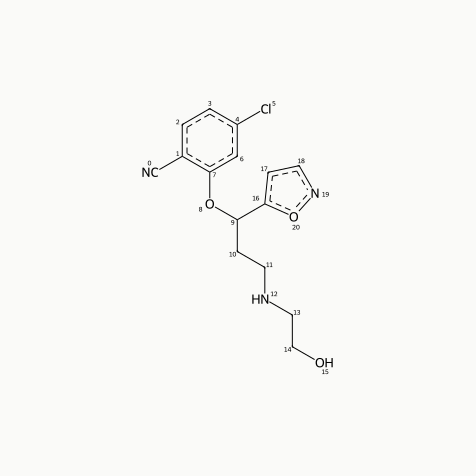 N#Cc1ccc(Cl)cc1OC(CCNCCO)c1ccno1